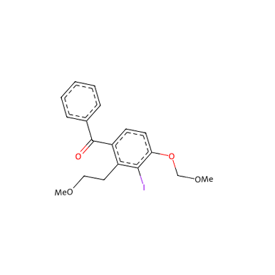 COCCc1c(C(=O)c2ccccc2)ccc(OCOC)c1I